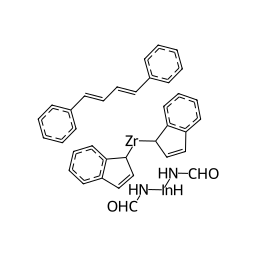 C(C=Cc1ccccc1)=Cc1ccccc1.C1=C[CH]([Zr][CH]2C=Cc3ccccc32)c2ccccc21.O=C[NH][InH][NH]C=O